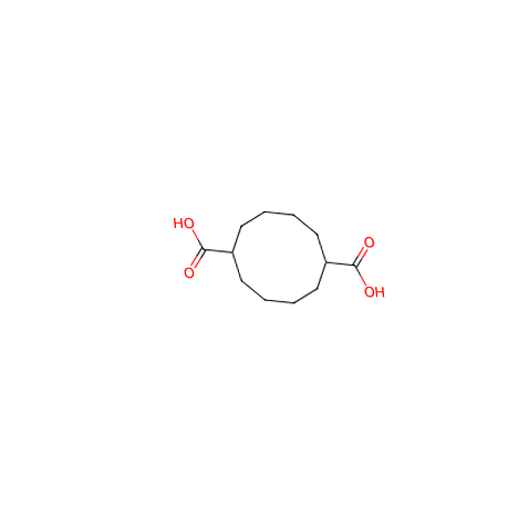 O=C(O)C1CCCCC(C(=O)O)CCCC1